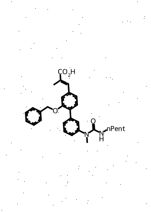 CCCCCNC(=O)N(C)c1cccc(-c2ccc(/C=C(\C)C(=O)O)cc2OCc2ccccc2)c1